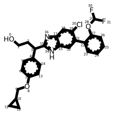 OCCC(c1ccc(OCC2CC2)cc1)c1nc2cc(Cl)c(-c3ccccc3OC(F)F)cc2[nH]1